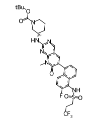 Cn1c(=O)c(-c2cccc3c(NS(=O)(=O)CCC(F)(F)F)c(F)ccc23)cc2cnc(N[C@H]3CCCN(C(=O)OC(C)(C)C)C3)nc21